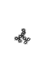 c1ccc(N(c2ccccc2)c2ccc(-n3c4cc(N(c5ccccc5)c5ccccc5)ccc4c4cc5c(cc43)sc3ccccc35)cc2)cc1